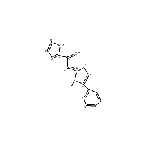 Cn1c(-c2ccccc2)csc1=NC(=O)c1cccs1